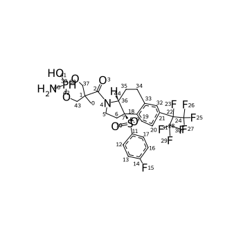 CC1(C(=O)N2CC[C@@]3(S(=O)(=O)c4ccc(F)cc4)c4ccc(C(F)(C(F)(F)F)C(F)(F)F)cc4CC[C@@H]23)CO[PH](N)(O)OC1